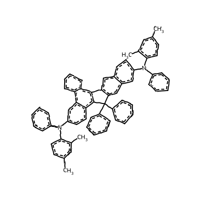 Cc1ccc(N(c2ccccc2)c2ccc3cc4c(cc3c2)C(c2ccccc2)(c2ccccc2)c2c-4c3ccccc3c3cc(N(c4ccccc4)c4ccc(C)cc4C)ccc23)c(C)c1